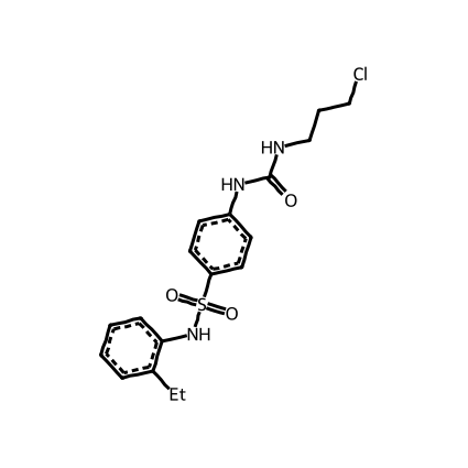 CCc1ccccc1NS(=O)(=O)c1ccc(NC(=O)NCCCCl)cc1